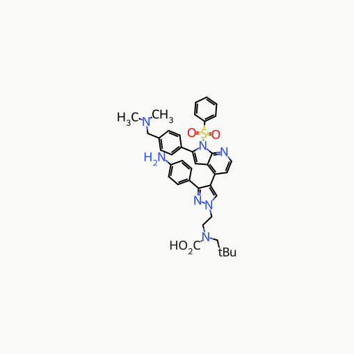 CN(C)Cc1ccc(-c2cc3c(-c4cn(CCN(CC(C)(C)C)C(=O)O)nc4-c4ccc(N)cc4)ccnc3n2S(=O)(=O)c2ccccc2)cc1